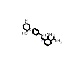 N=C1C(C(N)=O)=CC=C/C1=C/Nc1ccc([C@H]2CNCCC2O)cc1